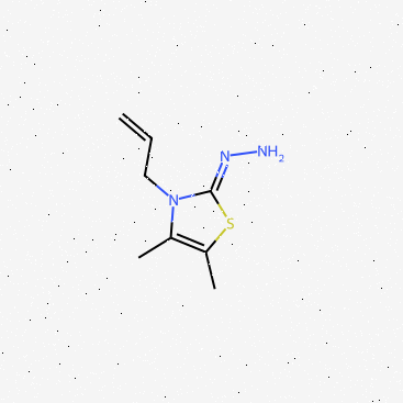 C=CCn1c(C)c(C)s/c1=N\N